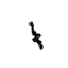 C=CC(=O)OCCCCCc1ccc(-c2cc3c4ccccc4c(-c4ccc(COC(=O)C=C)cc4)cc3c3ccccc23)cc1